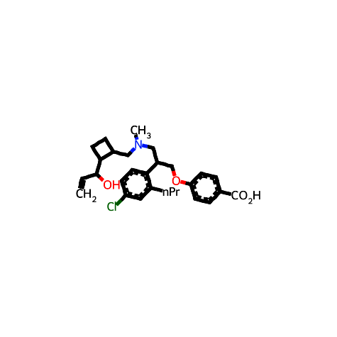 C=CC(O)C1CCC1CN(C)CC(COc1ccc(C(=O)O)cc1)c1ccc(Cl)cc1CCC